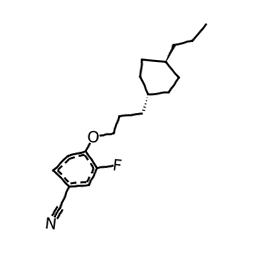 CCC[C@H]1CC[C@H](CCCOc2ccc(C#N)cc2F)CC1